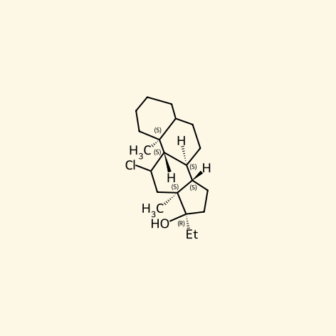 CC[C@@]1(O)CC[C@H]2[C@@H]3CCC4CCCC[C@]4(C)[C@H]3C(Cl)C[C@@]21C